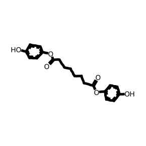 O=C(CCCCCCC(=O)Oc1ccc(O)cc1)Oc1ccc(O)cc1